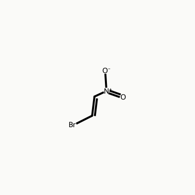 O=[N+]([O-])C=CBr